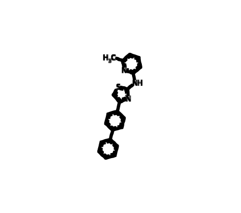 Cc1cccc(Nc2nc(-c3ccc(-c4ccccc4)cc3)cs2)n1